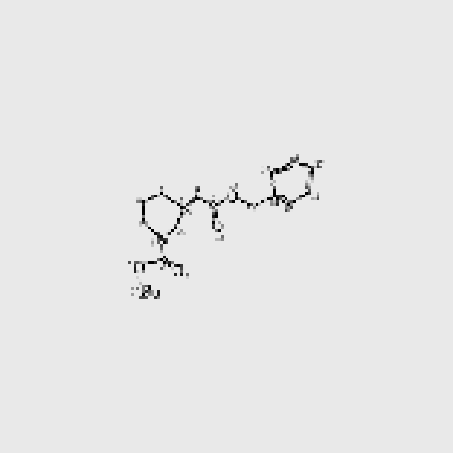 CC(C)(C)OC(=O)N1CCC[C@@H](CC(=O)OCc2ccccc2)C1